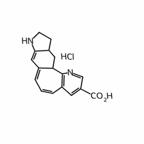 Cl.O=C(O)c1cnc2c(c1)C=CC=C1C=C3NCCC3CC12